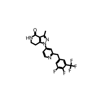 Cc1nn(-c2ccnc(Cc3cc(F)c(F)c(C(F)(F)F)c3)c2)c2c1C(=O)NCC2